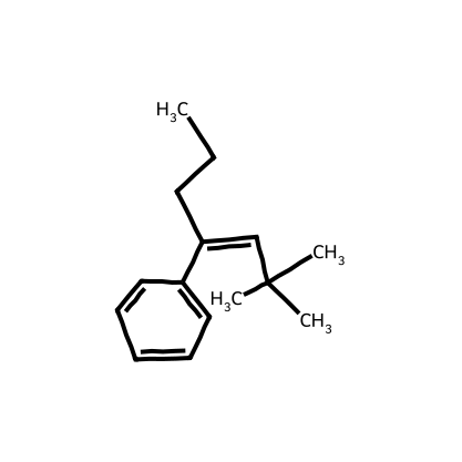 CCC/C(=C/C(C)(C)C)c1ccccc1